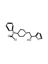 CCC(=O)N(c1ccccc1)C1CCN(CC(O)c2cccs2)CC1